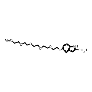 COCCOCCOCCOCCOCCOc1ccc2[nH]c(C(=O)O)cc2c1